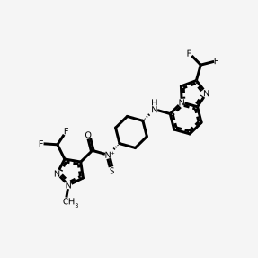 Cn1cc(C(=O)[N+](=S)[C@H]2CC[C@@H](Nc3cccc4nc(C(F)F)cn34)CC2)c(C(F)F)n1